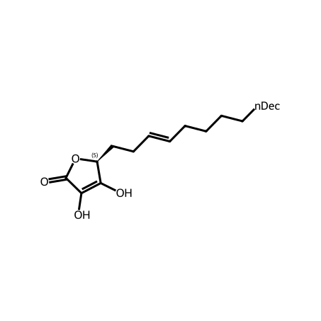 CCCCCCCCCCCCCCC=CCC[C@@H]1OC(=O)C(O)=C1O